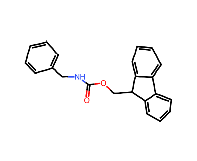 O=C(NCc1c[c]ccc1)OCC1c2ccccc2-c2ccccc21